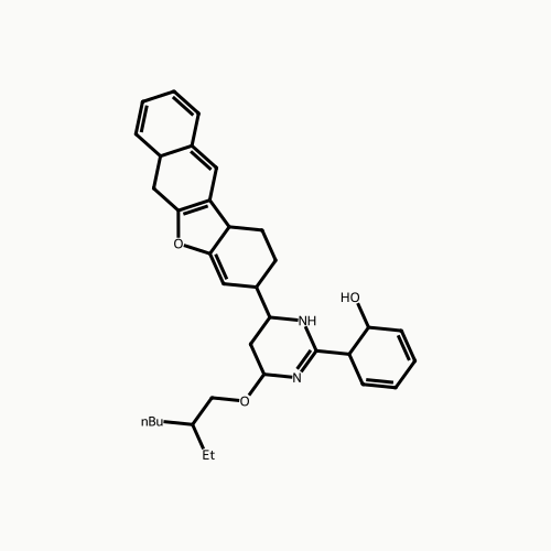 CCCCC(CC)COC1CC(C2C=C3OC4=C(C=C5C=CC=CC5C4)C3CC2)NC(C2C=CC=CC2O)=N1